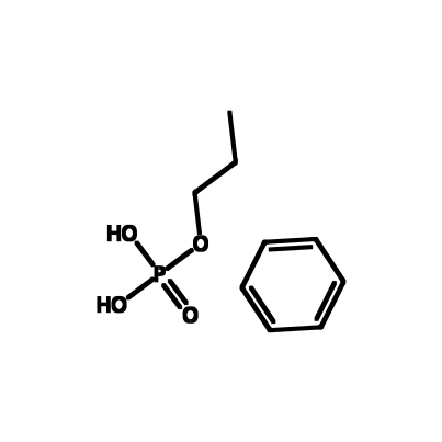 CCCOP(=O)(O)O.c1ccccc1